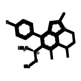 Cc1c([C@H](OC(C)(C)C)C(=O)O)c(-c2ccc(F)cc2)c2cc(C)n3c2c1N(C)CC3